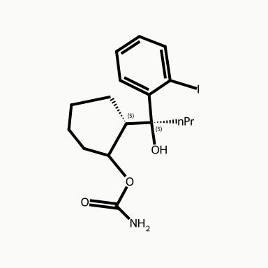 CCC[C@@](O)(c1ccccc1I)[C@H]1CCCCC1OC(N)=O